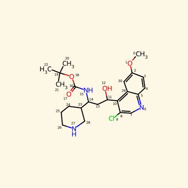 COc1ccc2ncc(Cl)c(C(O)CC(NC(=O)OC(C)(C)C)C3CCCNC3)c2c1